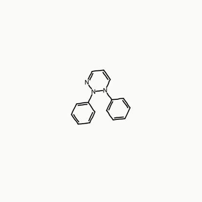 C1=CN(c2ccccc2)N(c2ccccc2)N=C1